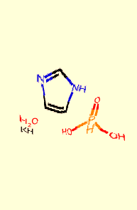 O.O=[PH](O)O.[KH].c1c[nH]cn1